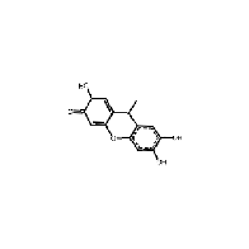 CC1C2=CC(O)C(=O)C=C2Oc2cc(O)c(O)cc21